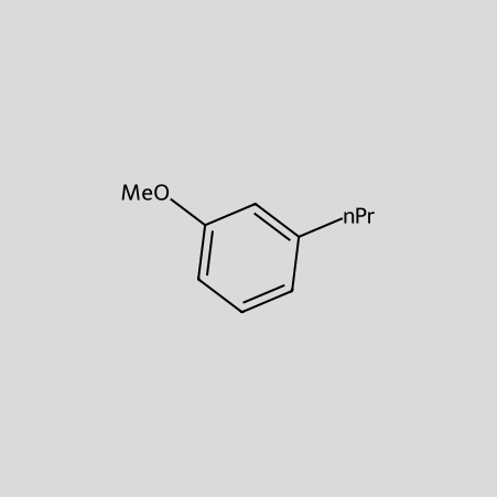 [CH2]CCc1cccc(OC)c1